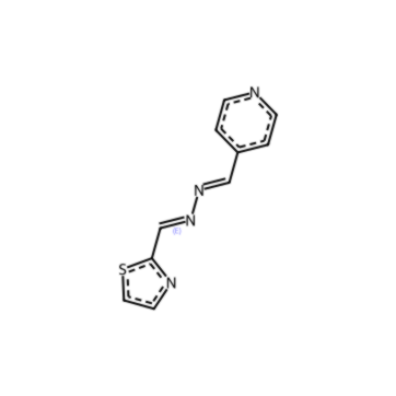 C(=N/N=C/c1nccs1)c1ccncc1